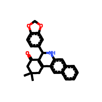 CC1(C)CC(=O)C2=C(C1)c1cc3ccccc3cc1NC2c1ccc2c(c1)OCO2